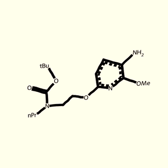 CCCN(CCOc1ccc(N)c(OC)n1)C(=O)OC(C)(C)C